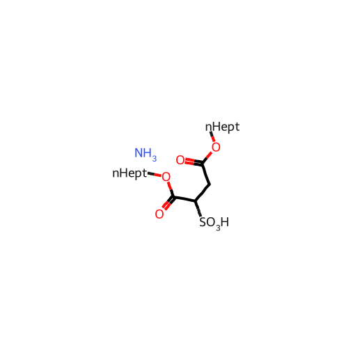 CCCCCCCOC(=O)CC(C(=O)OCCCCCCC)S(=O)(=O)O.N